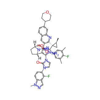 Cc1cc(-n2nc3c(c2-n2ccn(-c4ccc5c(cnn5C)c4F)c2=O)[C@@H]2CC[C@H](C3)N2C(=O)c2cc3ccc(C4CCOCC4)cc3nc2[C@@]2(C(N)=NO)C[C@@H]2C)cc(C)c1F